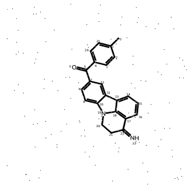 Cc1ccc(C(=O)c2ccc3c(c2)c2cccc4c2n3CCC4=N)cc1